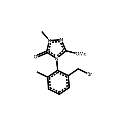 COc1nn(C)c(=O)n1-c1c(C)cccc1CBr